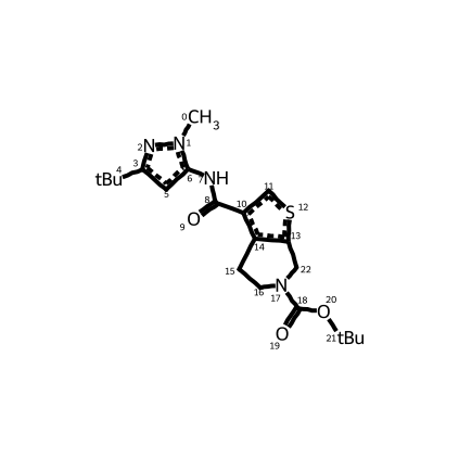 Cn1nc(C(C)(C)C)cc1NC(=O)c1csc2c1CCN(C(=O)OC(C)(C)C)C2